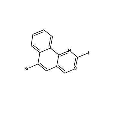 Brc1cc2cnc(I)nc2c2ccccc12